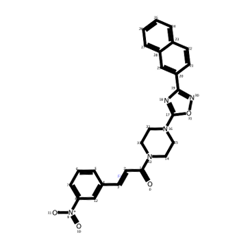 O=C(/C=C/c1cccc([N+](=O)[O-])c1)N1CCN(c2nc(-c3ccc4ccccc4c3)no2)CC1